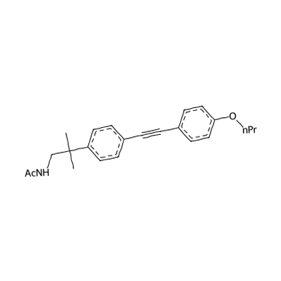 CCCOc1ccc(C#Cc2ccc(C(C)(C)CNC(C)=O)cc2)cc1